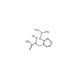 CC(C)Oc1ccccc1CN(SCl)C(=O)O